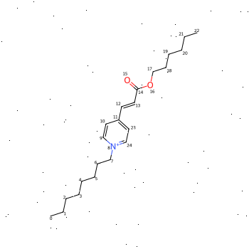 CCCCCCCC[n+]1ccc(/C=C/C(=O)OCCCCCC)cc1